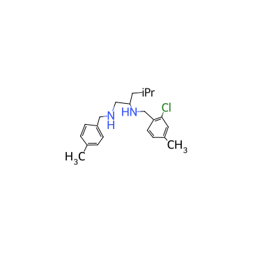 Cc1ccc(CNCC(CC(C)C)NCc2ccc(C)cc2Cl)cc1